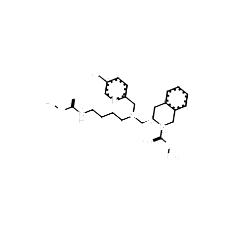 CC(C)(C)OC(=O)NCCCCN(Cc1ccc(Cl)cn1)C[C@H]1Cc2ccccc2CN1C(=O)OC(C)(C)C